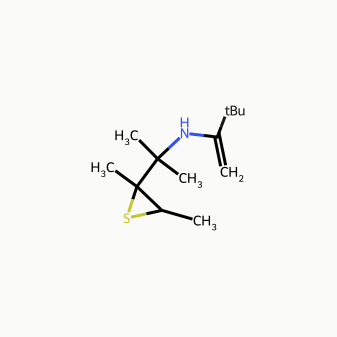 C=C(NC(C)(C)C1(C)SC1C)C(C)(C)C